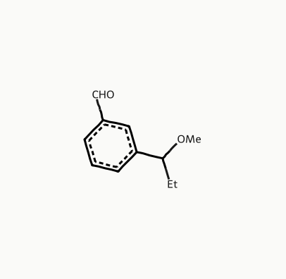 CCC(OC)c1cccc(C=O)c1